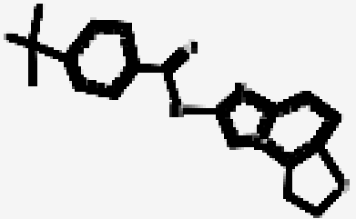 CC(C)(C)c1ccc(C(=O)Nc2cn3c4c(ccc3n2)OCC4)cc1